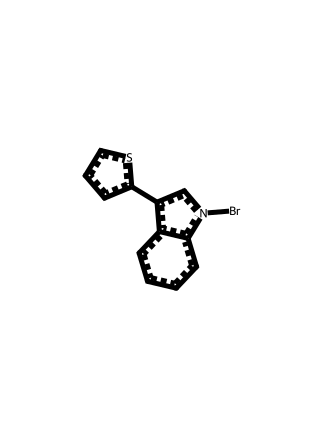 Brn1cc(-c2cccs2)c2ccccc21